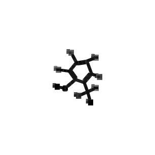 [2H]Oc1c([2H])c([2H])c([2H])c([2H])c1C([2H])([2H])[2H]